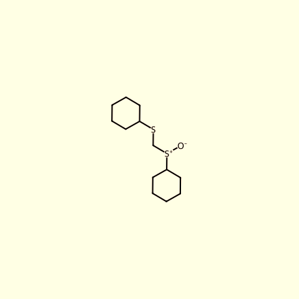 [O-][S+](CSC1CCCCC1)C1CCCCC1